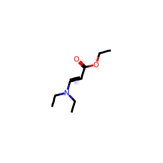 CCOC(=O)/C=C/N(CC)CC